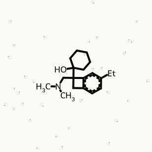 CCc1ccc2c(c1)C(CN(C)C)(C1(O)CCCCC1)C2